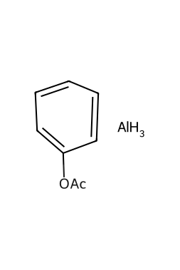 CC(=O)Oc1ccccc1.[AlH3]